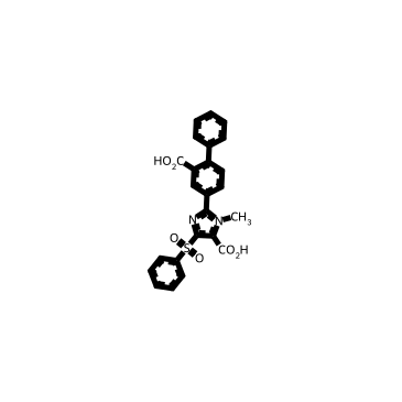 Cn1c(-c2ccc(-c3ccccc3)c(C(=O)O)c2)nc(S(=O)(=O)c2ccccc2)c1C(=O)O